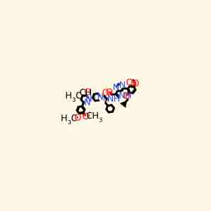 COc1ccc(C2=NN(C3CCN(C(=O)[C@H](CC4CCCCC4)NC(=O)c4c[nH]c5c(-c6c(OCC7CC7)ccc7c6OCO7)ncnc45)CC3)C(=O)C(C)(C)C2)cc1OC